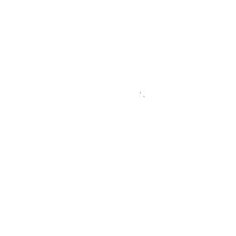 C[N+](C)(C)C1CC2CCC(C2)C1